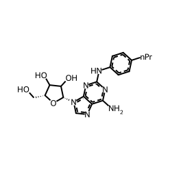 CCCc1ccc(Nc2nc(N)c3ncn([C@@H]4O[C@H](CO)C(O)C4O)c3n2)cc1